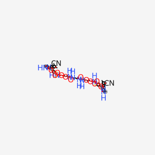 Cc1cc(C#N)c2c(c1)[C@H](Oc1ccc(S(=O)(=O)NCCOCCOCCNC(=O)NCCCCNC(=O)NCCOCCOCCNS(=O)(=O)c3ccc(O[C@H]4c5cc(C)cc(C#N)c5C[C@@H]4N4CCN[C@H](C)C4)cc3)cc1)[C@@H](N1CCN[C@H](C)C1)C2